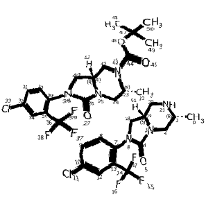 C[C@@H]1CN2C(=O)N(c3ccc(Cl)cc3C(F)(F)F)C[C@@H]2CN1.C[C@@H]1CN2C(=O)N(c3ccc(Cl)cc3C(F)(F)F)C[C@@H]2CN1C(=O)OC(C)(C)C